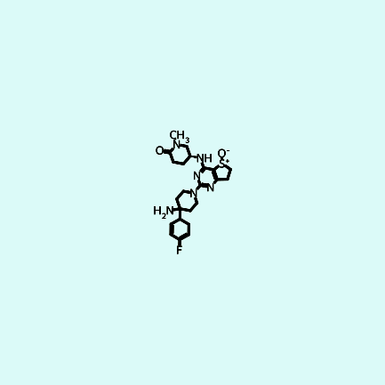 CN1C[C@@H](Nc2nc(N3CCC(N)(C4C=CC(F)=CC4)CC3)nc3c2[S+]([O-])CC3)CCC1=O